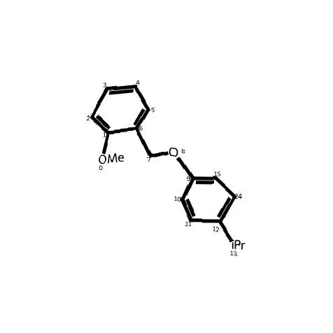 COc1ccccc1COc1ccc(C(C)C)cc1